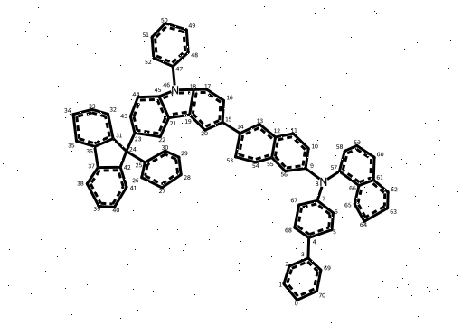 c1ccc(-c2ccc(N(c3ccc4cc(-c5ccc6c(c5)c5cc(C7(c8ccccc8)c8ccccc8-c8ccccc87)ccc5n6-c5ccccc5)ccc4c3)c3cccc4ccccc34)cc2)cc1